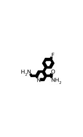 NCc1cc(-c2ccc(F)cc2)c(C(N)=O)cn1